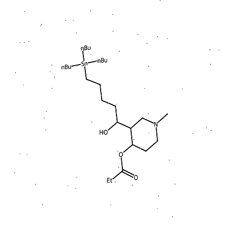 CCC[CH2][Sn]([CH2]CCC)([CH2]CCC)[CH2]CCCC(O)C1CN(C)CCC1OC(=O)CC